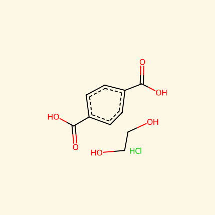 Cl.O=C(O)c1ccc(C(=O)O)cc1.OCCO